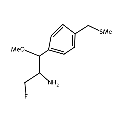 COC(c1ccc(CSC)cc1)C(N)CF